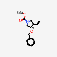 C=CC1CN(C(=O)OC(C)(C)C)C[C@H]1OCc1ccccc1